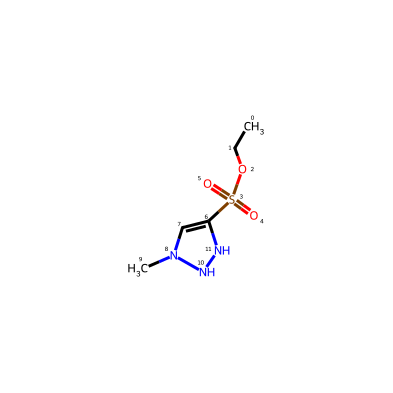 CCOS(=O)(=O)C1=CN(C)NN1